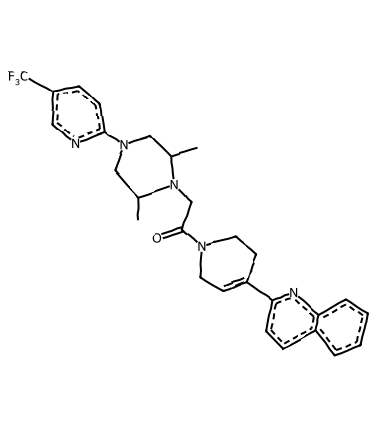 CC1CN(c2ccc(C(F)(F)F)cn2)CC(C)N1CC(=O)N1CC=C(c2ccc3ccccc3n2)CC1